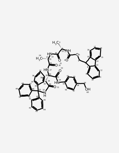 C[C@H](NC(=O)OCC1c2ccccc2-c2ccccc21)C(=O)N[C@@H](C)C(=O)N[C@@H](CC(=O)NC(c1ccccc1)(c1ccccc1)c1ccccc1)C(=O)Nc1ccc(CO)cc1